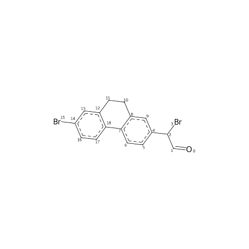 O=CC(Br)c1ccc2c(c1)CCc1cc(Br)ccc1-2